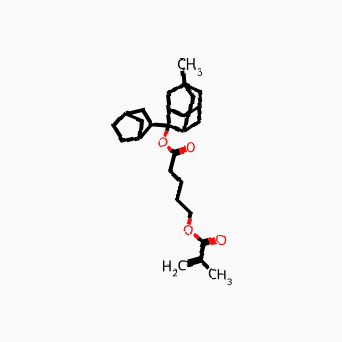 C=C(C)C(=O)OCCCCC(=O)OC1(C2CC3CCC2C3)C2CC3CC1CC(C)(C3)C2